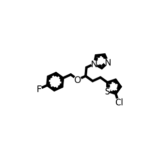 Fc1ccc(COC(CCc2ccc(Cl)s2)Cn2ccnc2)cc1